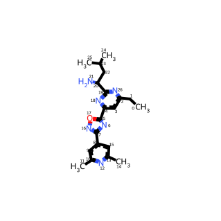 CCc1cc(-c2nc(-c3cc(C)nc(C)c3)no2)nc(C(N)CC(C)C)n1